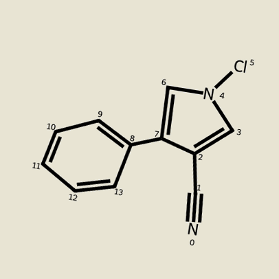 N#Cc1cn(Cl)cc1-c1ccccc1